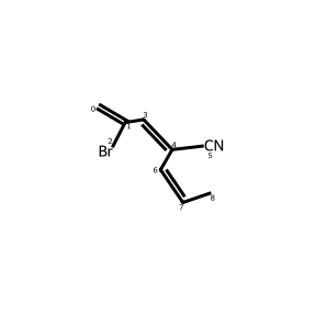 C=C(Br)/C=C(C#N)\C=C/C